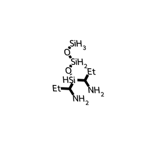 CCC(N)[SiH](O[SiH2]O[SiH3])C(N)CC